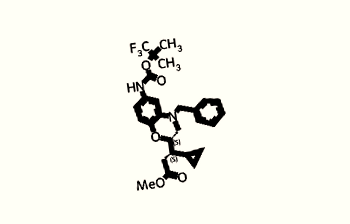 COC(=O)C[C@@H](C1CC1)[C@H]1CN(Cc2ccccc2)c2cc(NC(=O)OC(C)(C)C(F)(F)F)ccc2O1